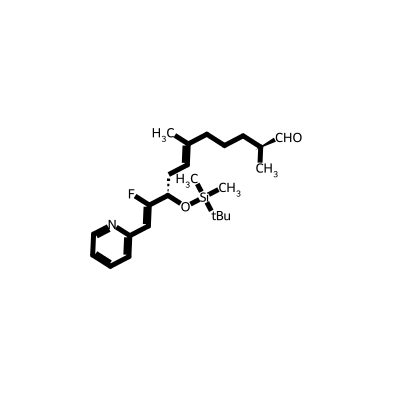 C/C(=C\C[C@H](O[Si](C)(C)C(C)(C)C)/C(F)=C/c1ccccn1)CCC[C@H](C)C=O